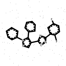 Fc1ccc(F)c(-c2noc(-c3cnn(-c4ccccc4)c3-c3ccccc3)n2)c1